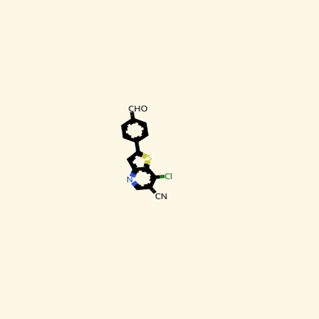 N#Cc1cnc2cc(-c3ccc(C=O)cc3)sc2c1Cl